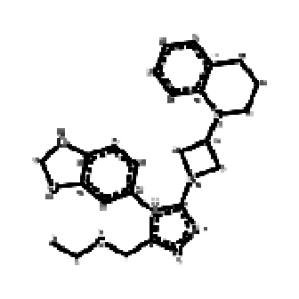 CCOCc1nnc(N2CC(N3CCCc4ccccc43)C2)n1-c1ccc2c(c1)OCO2